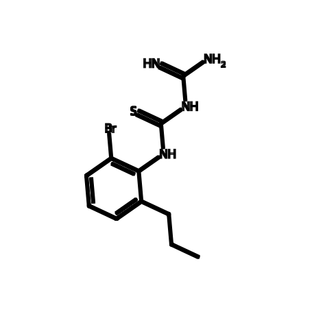 CCCc1cccc(Br)c1NC(=S)NC(=N)N